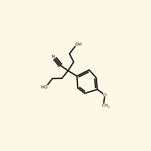 COc1ccc(C(C#N)(CCO)CCO)cc1